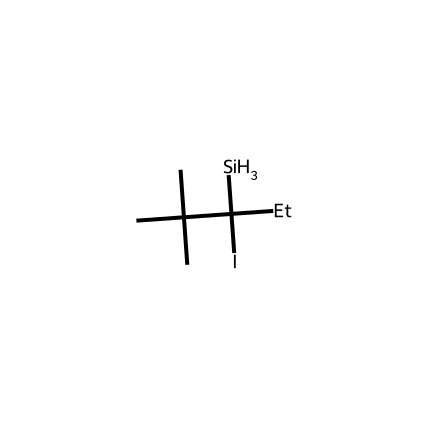 CCC([SiH3])(I)C(C)(C)C